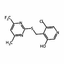 Cc1cc(C(F)(F)F)nc(SCc2c(O)cncc2Cl)n1